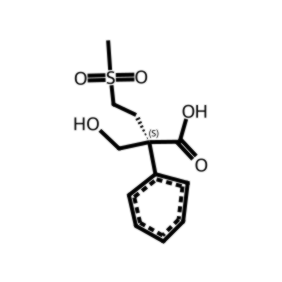 CS(=O)(=O)CC[C@](CO)(C(=O)O)c1ccccc1